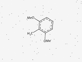 [CH2]Oc1cccc(OC)c1C